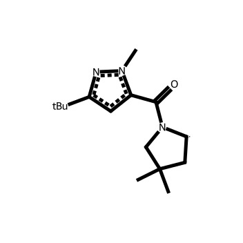 Cn1nc(C(C)(C)C)cc1C(=O)N1[CH]CC(C)(C)C1